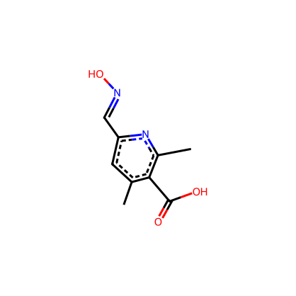 Cc1cc(C=NO)nc(C)c1C(=O)O